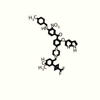 CC1CCC(CNc2ccc(C(=O)c3ccc(N4CCN(CC5=C(C67CC6(C(F)F)C7)CC(C)(C)CC5)CC4)cc3Oc3cnc4[nH]ccc4c3)cc2[N+](=O)[O-])CC1